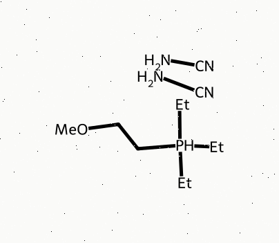 CC[PH](CC)(CC)CCOC.N#CN.N#CN